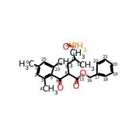 Cc1cc(C)c(C(=O)C(CC(C)C)C(=O)OCc2ccccc2)c(C)c1.O=[PH3]